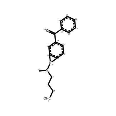 CN(CCCC=O)N1c2ccc(C(=O)c3ccccc3)cc21